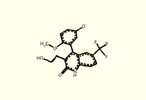 COc1ccc(Cl)cc1-c1c(CCO)c(=O)[nH]c2ccc(C(F)(F)F)cc12